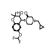 CC1(C)Oc2ccc(OC(F)F)cc2C(N2CCN(CC3CC3)CC2=O)C1O